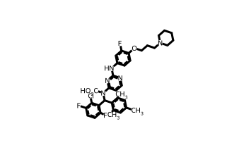 Cc1cc(C)c(C(c2c(F)ccc(F)c2Cl)N(C(=O)O)c2ccnc(Nc3ccc(OCCCN4CCCCC4)c(F)c3)n2)c(C)c1